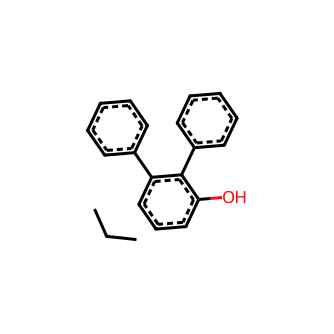 CCC.Oc1cccc(-c2ccccc2)c1-c1ccccc1